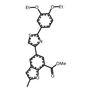 CCOc1ccc(-c2nc(-c3cc(C(=O)OC)c4oc(C)cc4c3)cs2)cc1OCC